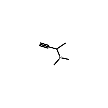 C#CC(C)N(C)C